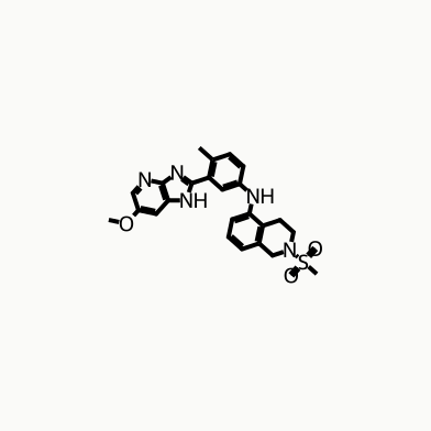 COc1cnc2nc(-c3cc(Nc4cccc5c4CCN(S(C)(=O)=O)C5)ccc3C)[nH]c2c1